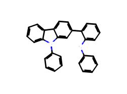 c1ccc(Nc2ccccc2-c2ccc3c4ccccc4n(-c4ccccc4)c3c2)cc1